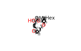 CCCCCCc1ccc(OCC/C=C/[C@H]2[C@H](C)CC(=O)[C@@H]2CC=C=CCC(O)C(=O)OC)cc1